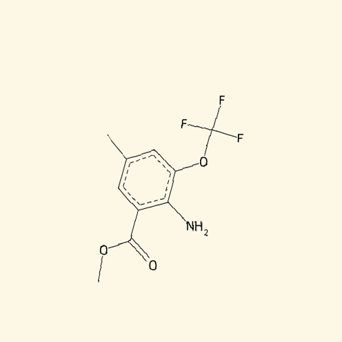 COC(=O)c1cc(C)cc(OC(F)(F)F)c1N